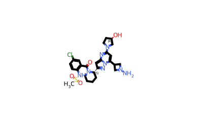 CS(=O)(=O)Nc1ccc(Cl)cc1C(=O)N1CCCC[C@H]1c1cc2nc(N3CC[C@@H](O)C3)cc(C3CN(N)C3)n2n1